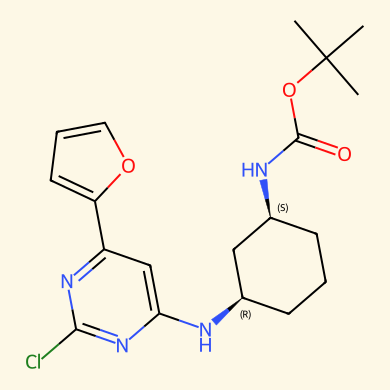 CC(C)(C)OC(=O)N[C@H]1CCC[C@@H](Nc2cc(-c3ccco3)nc(Cl)n2)C1